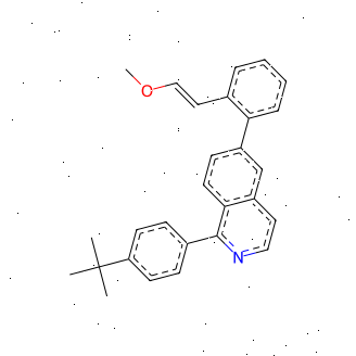 COC=Cc1ccccc1-c1ccc2c(-c3ccc(C(C)(C)C)cc3)nccc2c1